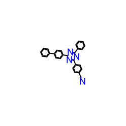 N#Cc1ccc(-c2nc(-c3ccccc3)nc(-c3ccc(-c4ccccc4)cc3)n2)cc1